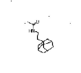 CC(=O)NCCC12CC3CC(CC(C3)C1)C2